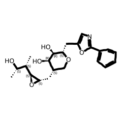 C[C@H]([C@@H]1O[C@H]1C[C@H]1CO[C@@H](Cc2cnc(-c3ccccc3)o2)[C@H](O)[C@@H]1O)[C@H](C)O